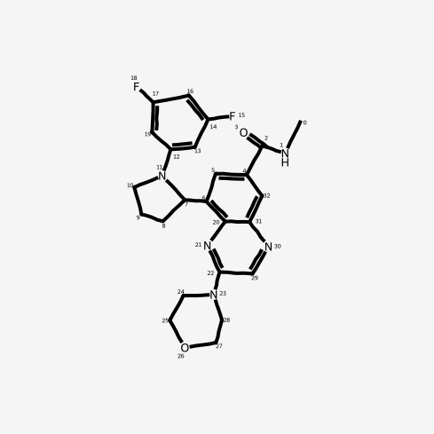 CNC(=O)c1cc(C2CCCN2c2cc(F)cc(F)c2)c2nc(N3CCOCC3)cnc2c1